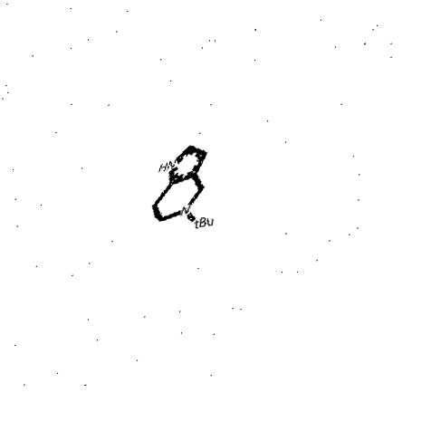 CC(C)(C)N1CCc2[nH]ccc2C1